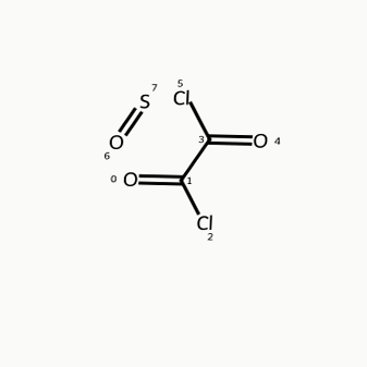 O=C(Cl)C(=O)Cl.O=S